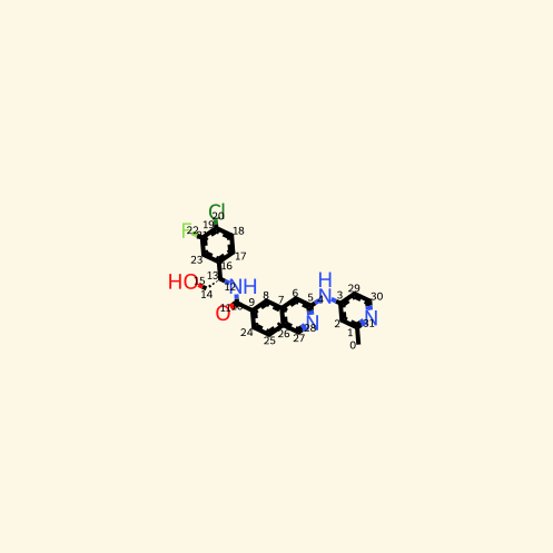 Cc1cc(Nc2cc3cc(C(=O)N[C@H](CO)c4ccc(Cl)c(F)c4)ccc3cn2)ccn1